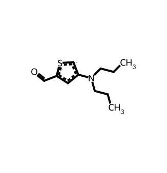 CCCN(CCC)c1[c]sc(C=O)c1